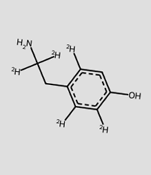 [2H]c1cc(O)c([2H])c([2H])c1CC([2H])([2H])N